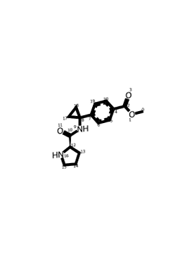 COC(=O)c1ccc(C2(NC(=O)[C@H]3CCCN3)CC2)cc1